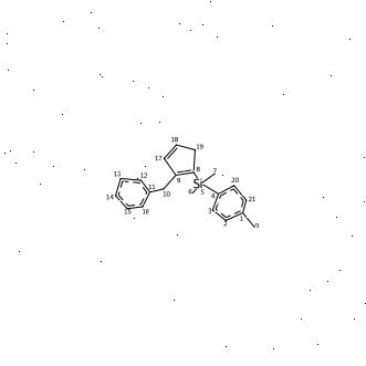 Cc1ccc([Si](C)(C)C2=C(Cc3ccccc3)C=CC2)cc1